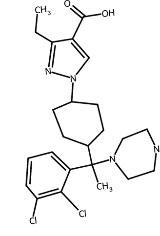 CCc1nn(C2CCC(C(C)(c3cccc(Cl)c3Cl)N3CCNCC3)CC2)cc1C(=O)O